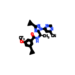 C[C@H](NC(=O)c1cc(OC(F)(F)F)cc(C2CC2)c1)c1nc(C2CC2)nn1-c1cc(C#N)ncn1